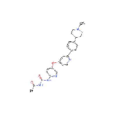 CC(C)C(=O)NC(=O)Nc1ccc(Oc2ccnc(-c3ccc(C4CCN(C)CC4)cc3)c2)cn1